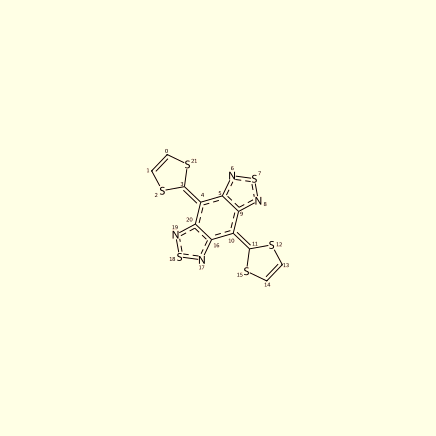 C1=CSC(=c2c3nsnc3c(=C3SC=CS3)c3nsnc23)S1